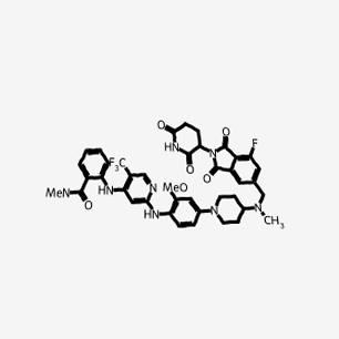 CNC(=O)c1ccccc1Nc1cc(Nc2ccc(N3CCC(N(C)Cc4cc(F)c5c(c4)C(=O)N(C4CCC(=O)NC4=O)C5=O)CC3)cc2OC)ncc1C(F)(F)F